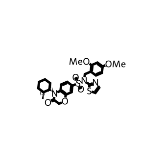 COc1ccc(CN(c2nccs2)S(=O)(=O)c2ccc3c(c2)OCC(=O)N3[C@H]2CCCC[C@@H]2C)c(OC)c1